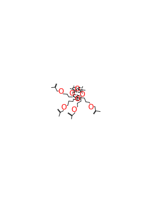 C=C(C)COCCC[Si]1(CCCOCC(=C)C)O[Si](C)(C)O[Si](C)(C)O[Si](CCCOCC(=C)C)(CCCOCC(=C)C)O1